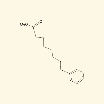 COC(=O)CCCCCCSc1ccccc1